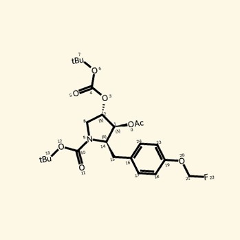 CC(=O)O[C@@H]1[C@@H](OC(=O)OC(C)(C)C)CN(C(=O)OC(C)(C)C)[C@@H]1Cc1ccc(OCF)cc1